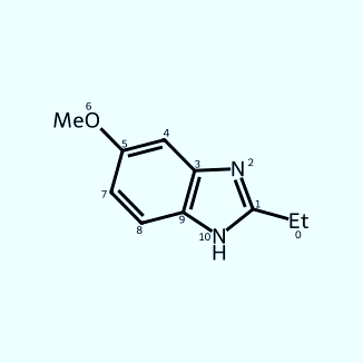 CCc1nc2cc(OC)ccc2[nH]1